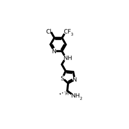 C[C@@H](N)c1ncc(CNc2cc(C(F)(F)F)c(Cl)cn2)s1